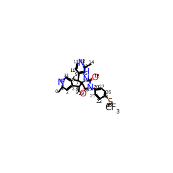 Cc1cc(C(C)C2(C(C)c3ccnc(C)c3)NC(=O)N(c3ccc(SC(F)(F)F)cc3)C2=O)ccn1